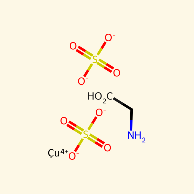 NCC(=O)O.O=S(=O)([O-])[O-].O=S(=O)([O-])[O-].[Cu+4]